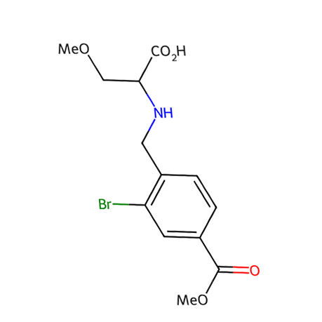 COCC(NCc1ccc(C(=O)OC)cc1Br)C(=O)O